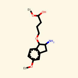 CCOc1ccc2c(c1)CC(N)C2OCCCC(O)OCC